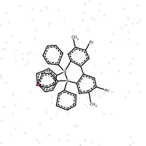 CC(=O)c1cc2c(cc1C)[Si](c1ccccc1)(c1ccccc1)[Si](c1ccccc1)(c1ccccc1)c1cc(C)c(C(C)=O)cc1-2